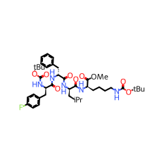 COC(=O)[C@@H](CCCCNC(=O)OC(C)(C)C)NC(=O)[C@@H](CC(C)C)NC(=O)[C@@H](Cc1ccccc1)NC(=O)[C@@H](Cc1ccc(F)cc1)NC(=O)OC(C)(C)C